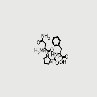 NC(=O)C[C@H](N)C(=O)N1CCC[C@H]1C(=O)N[C@@H](Cc1ccccc1)C(=O)O